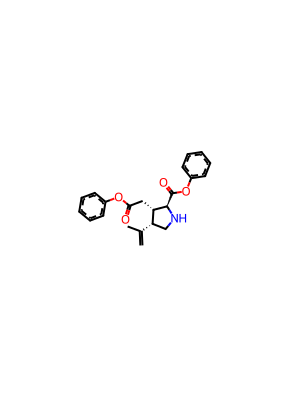 C=C(C)[C@H]1CN[C@H](C(=O)Oc2ccccc2)[C@H]1CC(=O)Oc1ccccc1